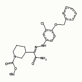 CC(C)(C)OC(=O)N1CCCC(C(=NNc2ccc(OCc3ccccn3)c(Cl)c2)C(N)=O)C1